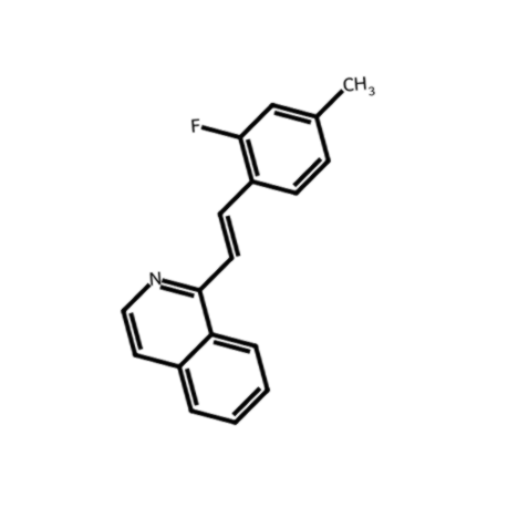 Cc1ccc(C=Cc2nccc3ccccc23)c(F)c1